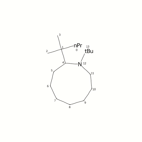 CCCC(C)(C)C1CCCCCCCN1C(C)(C)C